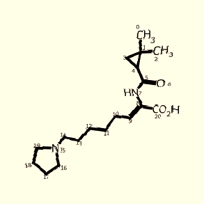 CC1(C)CC1C(=O)NC(=CCCCCCN1CCCC1)C(=O)O